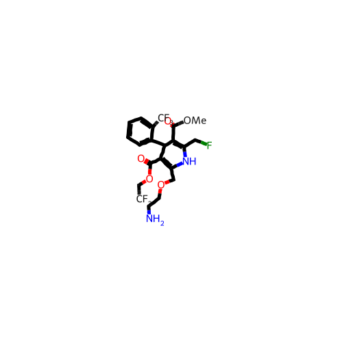 COC(=O)C1=C(CF)NC(COCCN)=C(C(=O)OCC(F)(F)F)C1c1ccccc1C(F)(F)F